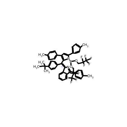 Cc1ccc(C2=N/C(=C(/c3ccc(C(C)(C)C)cc3)c3c(-c4ccc(C)cc4)cc(-c4ccc(C)cc4)n3B(OCC(F)(F)C(F)(F)F)OCC(F)(F)C(F)(F)F)c3ccccc32)cc1